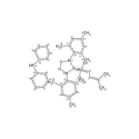 CC(C)=C[CH]=[Ru]([Cl])([Cl])=[C]1N(c2c(C)cc(C)cc2C)CCN1c1c(C)cc(C)cc1C.c1ccc(Pc2ccccc2)cc1